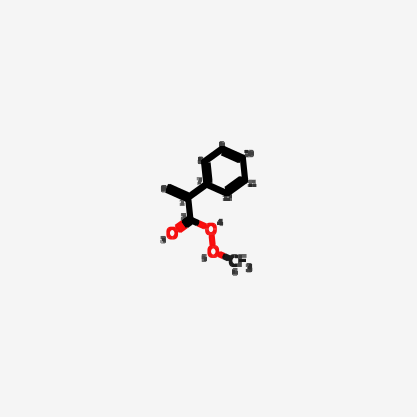 C=C(C(=O)OOC(F)(F)F)c1ccccc1